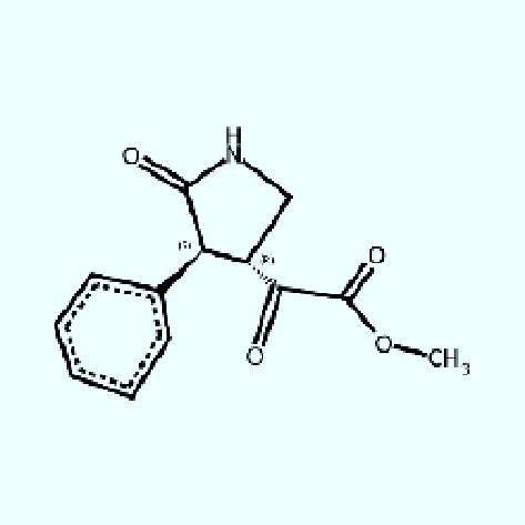 COC(=O)C(=O)[C@H]1CNC(=O)[C@@H]1c1ccccc1